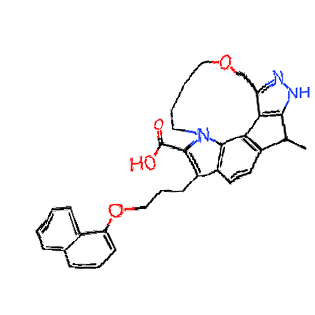 CC1c2ccc3c(CCCOc4cccc5ccccc45)c(C(=O)O)n4c3c2-c2c(n[nH]c21)COCCCC4